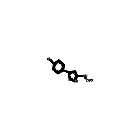 O=CNc1cc(-c2ccc(Cl)cc2)n[nH]1